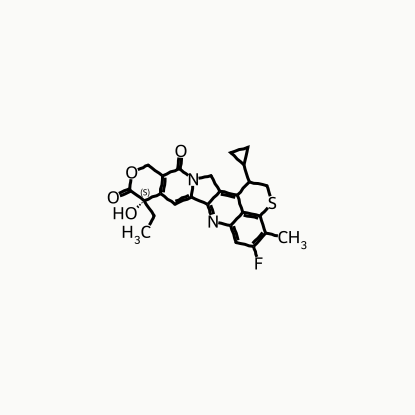 CC[C@@]1(O)C(=O)OCc2c1cc1n(c2=O)Cc2c-1nc1cc(F)c(C)c3c1c2C(C1CC1)CS3